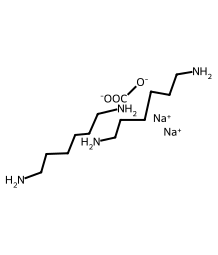 NCCCCCCN.NCCCCCCN.O=C([O-])[O-].[Na+].[Na+]